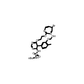 CCCCNS(=O)(=O)NC1N=CN=C(OCCOC2=NC=CC(Br)C=N2)C1c1ccc(C)c(OCO)c1